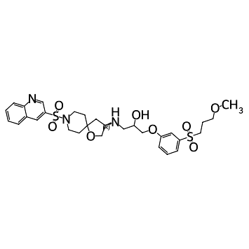 COCCCS(=O)(=O)c1cccc(OCC(O)CN[C@H]2COC3(CCN(S(=O)(=O)c4cnc5ccccc5c4)CC3)C2)c1